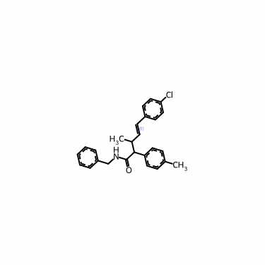 Cc1ccc(C(C(=O)NCc2ccccc2)C(C)/C=C/c2ccc(Cl)cc2)cc1